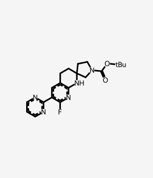 CC(C)(C)OC(=O)N1CCC2(CCc3cc(-c4ncccn4)c(F)nc3N2)C1